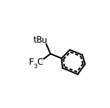 CC(C)(C)C(c1ccccc1)C(F)(F)F